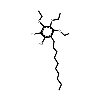 CCCCCCCCCCc1c(O)c(O)c(OCC)c(OCC)c1OCC